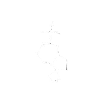 CC(C)(C)C1CCCC2N(CCC23CCC3)C1